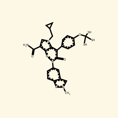 Cn1cc2cc(-n3nc4c(C(N)=O)cn(CC5CC5)c4c(-c4ccc(OC(S)(S)S)cc4)c3=O)ccc2n1